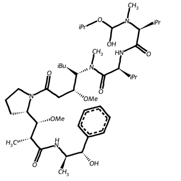 CC[C@H](C)[C@@H]([C@@H](CC(=O)N1CCC[C@H]1[C@H](OC)[C@@H](C)C(=O)N[C@H](C)[C@@H](O)c1ccccc1)OC)N(C)C(=O)[C@@H](NC(=O)[C@H](C(C)C)N(C)C(O)OC(C)C)C(C)C